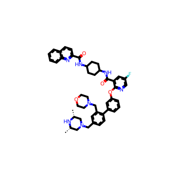 C[C@@H]1CN(Cc2ccc(-c3cccc(Oc4ncc(F)cc4C(=O)NC4CCC(NC(=O)c5ccc6ccccc6n5)CC4)c3)c(CN3CCOCC3)c2)C[C@H](C)N1